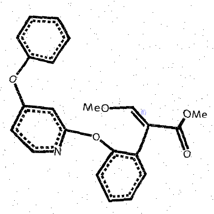 CO/C=C(/C(=O)OC)c1ccccc1Oc1cc(Oc2ccccc2)ccn1